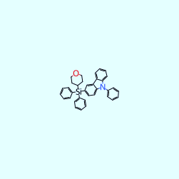 c1ccc(-n2c3ccccc3c3cc([Si](c4ccccc4)(c4ccccc4)C4CCOCC4)ccc32)cc1